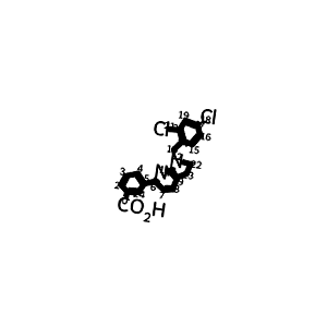 O=C(O)c1cccc(-c2ccc3c(n2)N(Cc2ccc(Cl)cc2Cl)CC3)c1